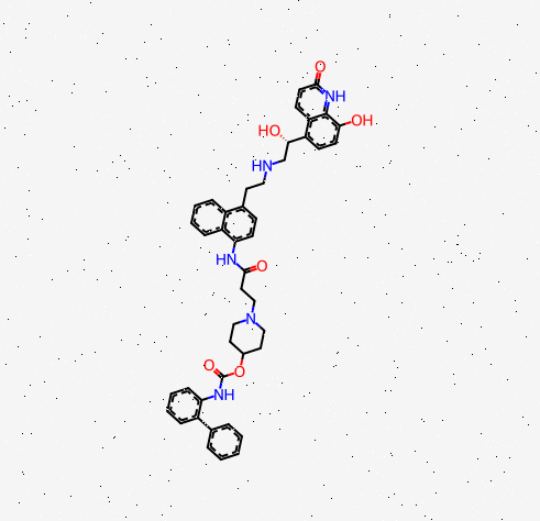 O=C(CCN1CCC(OC(=O)Nc2ccccc2-c2ccccc2)CC1)Nc1ccc(CCNC[C@H](O)c2ccc(O)c3[nH]c(=O)ccc23)c2ccccc12